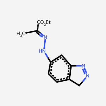 CCOC(=O)C(C)=NNc1ccc2c(c1)N=NC2